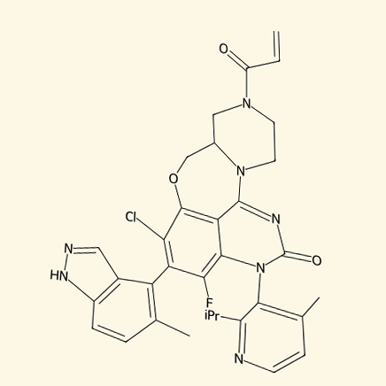 C=CC(=O)N1CCN2c3nc(=O)n(-c4c(C)ccnc4C(C)C)c4c(F)c(-c5c(C)ccc6[nH]ncc56)c(Cl)c(c34)OCC2C1